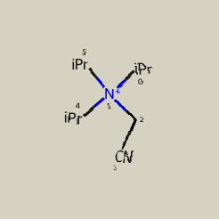 CC(C)[N+](CC#N)(C(C)C)C(C)C